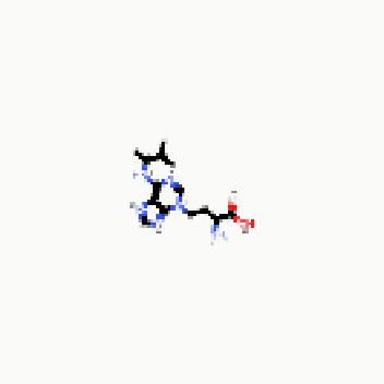 CC(C)C(C)Nc1ncn(CCC(N)C(=O)O)c2ncnc1-2